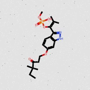 CCC(C)(C)C(=O)CCOc1ccc2c(C(OP(=O)(O)OC)=C(C)C)n[nH]c2c1